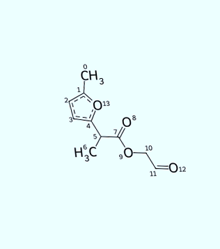 Cc1ccc(C(C)C(=O)OCC=O)o1